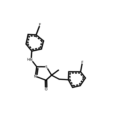 CC1(Cc2cccc(F)c2)SC(Nc2ccc(F)cc2)=NC1=O